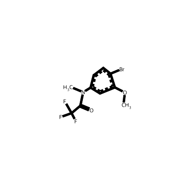 COc1cc(N(C)C(=O)C(F)(F)F)ccc1Br